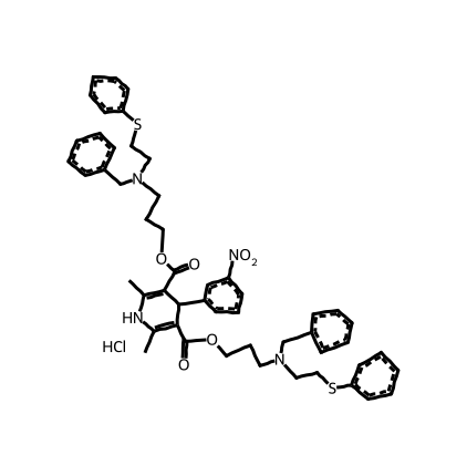 CC1=C(C(=O)OCCCN(CCSc2ccccc2)Cc2ccccc2)C(c2cccc([N+](=O)[O-])c2)C(C(=O)OCCCN(CCSc2ccccc2)Cc2ccccc2)=C(C)N1.Cl